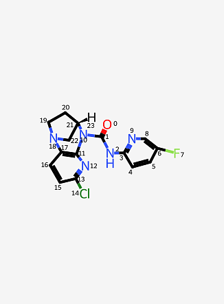 O=C(Nc1ccc(F)cn1)N1c2nc(Cl)ccc2N2CC[C@H]1C2